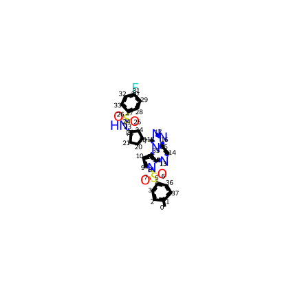 Cc1ccc(S(=O)(=O)n2ccc3c2ncc2nnc([C@@H]4CC[C@H](NS(=O)(=O)c5ccc(F)cc5)C4)n23)cc1